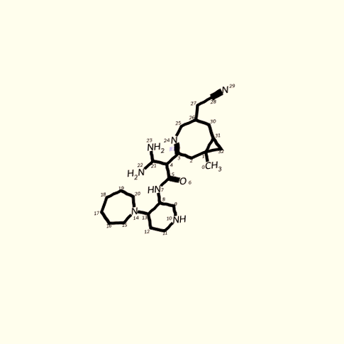 CC12C/C(C(C(=O)NC3CNCCC3N3CCCCCC3)C(N)N)=N\CC(CC#N)CC1C2